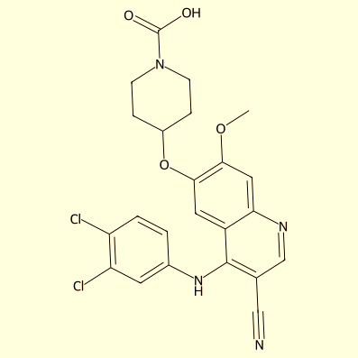 COc1cc2ncc(C#N)c(Nc3ccc(Cl)c(Cl)c3)c2cc1OC1CCN(C(=O)O)CC1